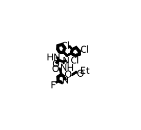 CCOCCOc1ncc(F)cc1C(=O)N[C@@H]1N=C(c2c(Cl)cc(Cl)cc2Cl)c2ccccc2NC1=O